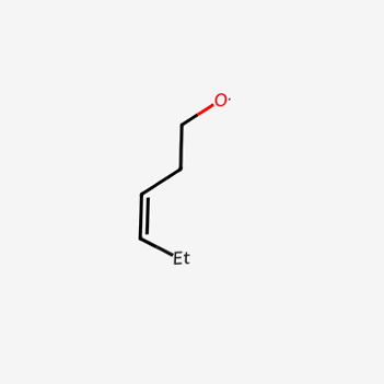 CC/C=C\CC[O]